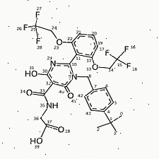 CC(C)(C)c1ccc(Cn2c(-c3c(OCC(F)(F)F)cccc3OCC(F)(F)F)nc(O)c(C(=O)NCC(=O)O)c2=O)cc1